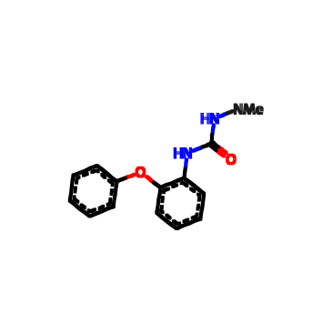 CNNC(=O)Nc1ccccc1Oc1ccccc1